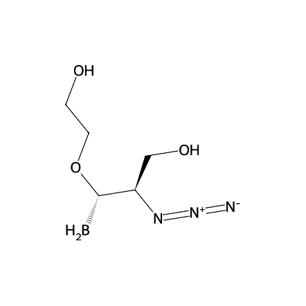 B[C@H](OCCO)[C@@H](CO)N=[N+]=[N-]